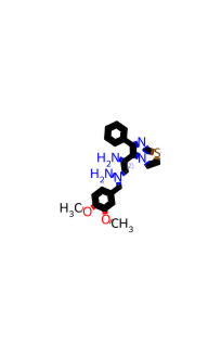 COc1ccc(CN(N)/C=C(\N)c2c(-c3ccccc3)nc3sccn23)cc1OC